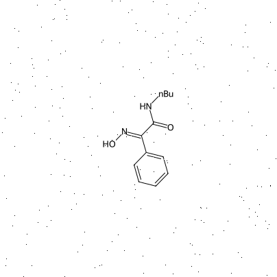 CCCCNC(=O)/C(=N/O)c1ccccc1